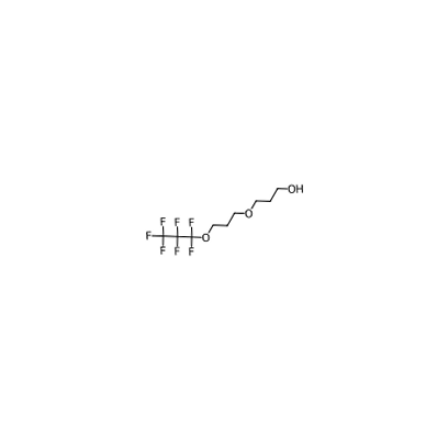 OCCCOCCCOC(F)(F)C(F)(F)C(F)(F)F